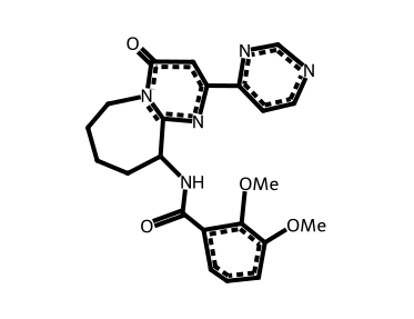 COc1cccc(C(=O)NC2CCCCn3c2nc(-c2ccncn2)cc3=O)c1OC